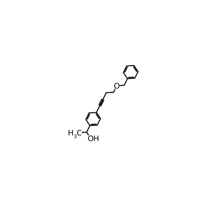 CC(O)c1ccc(C#CCCOCc2ccccc2)cc1